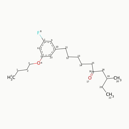 CCCCOc1cc(F)cc(CCCCCC(=O)CC(C)CC)c1